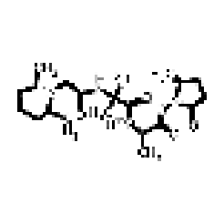 [2H]C(C)(NC(=O)C[15N]1C(C)CCCC1C)C(=O)[15NH]C(C)C(=O)ON1C(=C)CCC1=O